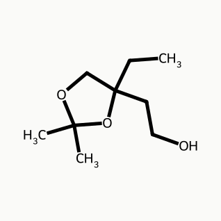 CCC1(CCO)COC(C)(C)O1